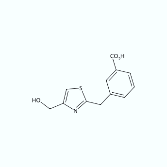 O=C(O)c1cccc(Cc2nc(CO)cs2)c1